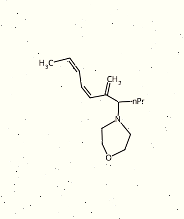 C=C(/C=C\C=C/C)C(CCC)N1CCOCC1